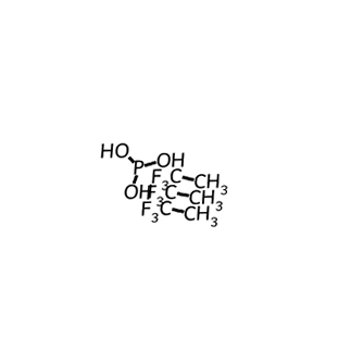 CC(F)(F)F.CC(F)(F)F.CC(F)(F)F.OP(O)O